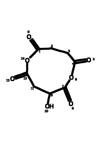 O=C1CCC(=O)OC(=O)C(O)CC(=O)O1